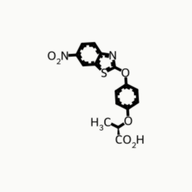 C[C@@H](Oc1ccc(Oc2nc3ccc([N+](=O)[O-])cc3s2)cc1)C(=O)O